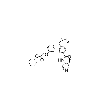 NCc1ccc(C(=O)Nc2ccncc2F)cc1-c1cccc(OCC(=O)OC2CCCCC2)c1